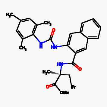 COC(=O)[C@](C)(CC(C)C)NC(=O)c1cc2ccccc2cc1NC(=O)Nc1c(C)cc(C)cc1C